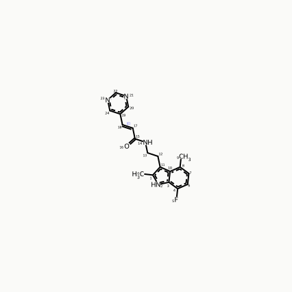 Cc1[nH]c2c(F)ccc(C)c2c1CCNC(=O)/C=C/c1cncnc1